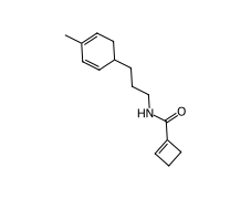 CC1=CCC(CCCNC(=O)C2=CCC2)C=C1